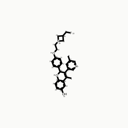 CC1=C(c2cncc(C)c2)C(c2ccc(OCCN3CC(CF)C3)cc2)Oc2ccc(O)cc21